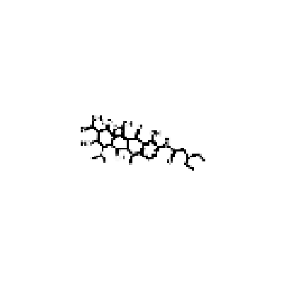 CCN(CC)CC(=O)Nc1ccc2c(c1O)C(=O)C1=C(O)C3(O)C(=O)C(C(N)=O)=C(O)[C@@H](N(C)C)C3C(O)C1C2C